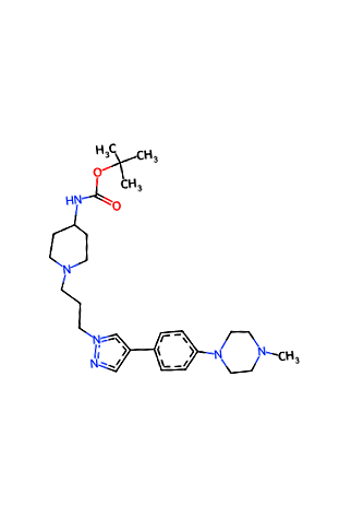 CN1CCN(c2ccc(-c3cnn(CCCN4CCC(NC(=O)OC(C)(C)C)CC4)c3)cc2)CC1